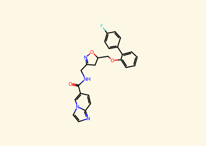 O=C(NCC1=NOC(COc2ccccc2-c2ccc(F)cc2)C1)c1ccc2nccn2c1